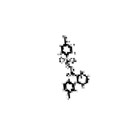 Cc1ccc(S/C(=N\OS(=O)(=O)c2ccc(C)cc2)C2CCCCC2)cc1